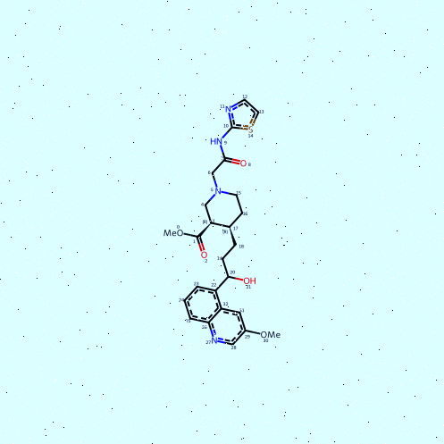 COC(=O)[C@H]1CN(CC(=O)Nc2nccs2)CC[C@H]1CCC(O)c1cccc2ncc(OC)cc12